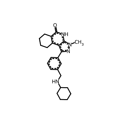 Cn1nc(-c2cccc(CNC3CCCCC3)c2)c2c3c(c(=O)[nH]c21)CCCC3